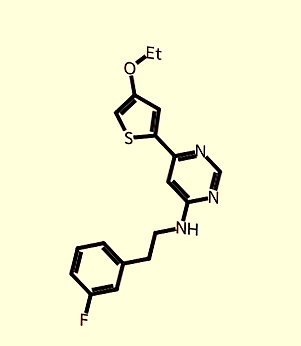 CCOc1csc(-c2cc(NCCc3cccc(F)c3)ncn2)c1